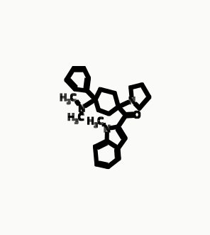 CN(C)C1(c2ccccc2)CCC(C(=O)c2cc3ccccc3n2C)(N2CCCC2)CC1